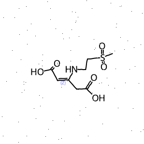 CS(=O)(=O)CCN/C(=C\C(=O)O)CC(=O)O